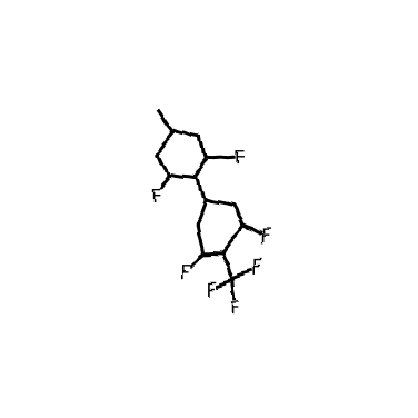 CC1CC(F)C(C2CC(F)C(C(F)(F)F)C(F)C2)C(F)C1